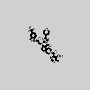 Cc1cc(C(F)(F)F)ccc1NC(=O)Cn1c2c(c(=O)n3nc(C4=CCOCC4)nc13)C1(CC2)CCN(C(=O)c2ncnc(C)c2O)CC1